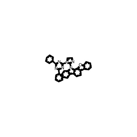 c1ccc(-c2nc(-c3ccccc3)nc(-n3ccnc3-n3c4ccccc4c4ccc5c6ccccc6oc5c43)n2)cc1